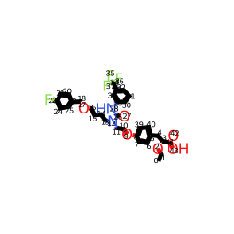 CCOC(Cc1ccc(OCCN(CCCCOCc2ccc(F)cc2)C(=O)Nc2cccc(C(F)(F)F)c2)cc1)C(=O)O